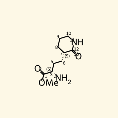 COC(=O)[C@@H](N)CC[C@@H]1CCCNC1=O